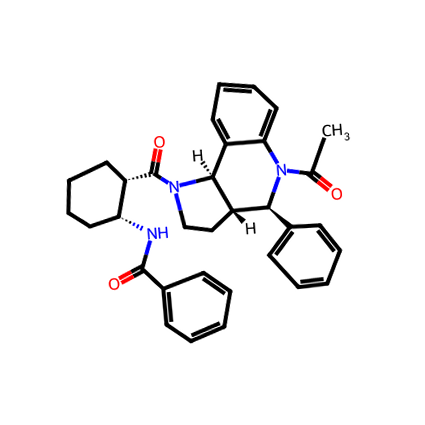 CC(=O)N1c2ccccc2[C@H]2[C@@H](CCN2C(=O)[C@H]2CCCC[C@H]2NC(=O)c2ccccc2)[C@@H]1c1ccccc1